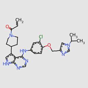 C=CC(=O)N1CCC(c2c[nH]c3ncnc(Nc4ccc(OCc5cn(C(C)C)cn5)c(Cl)c4)c23)CC1